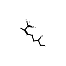 CCC(O)CCC=C(C)C(=O)O